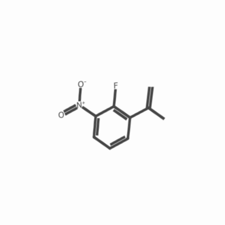 C=C(C)c1cccc([N+](=O)[O-])c1F